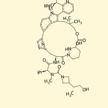 CCn1c(-c2cccnc2[C@H](C)OC)c2c3cc(ccc31)-c1csc(n1)C[C@H](NC(=O)[C@H](C(C)C)N(C)C(=O)N1CC([C@@H](C)CO)C1)C(=O)N1CCC[C@@](O)(N1)C(=O)OCC(C)(C)C2